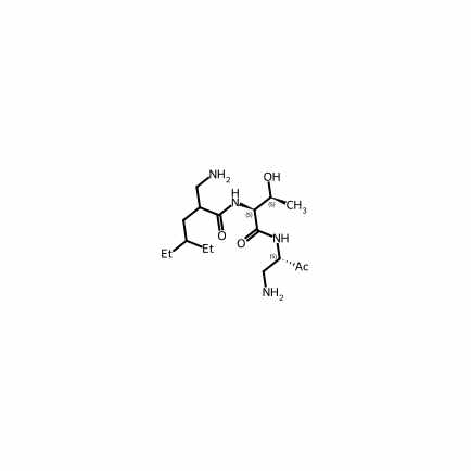 CCC(CC)CC(CN)C(=O)N[C@H](C(=O)N[C@@H](CN)C(C)=O)[C@H](C)O